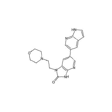 O=c1[nH]c2ncc(-c3cnc4[nH]ccc4c3)cc2n1CCN1CCOCC1